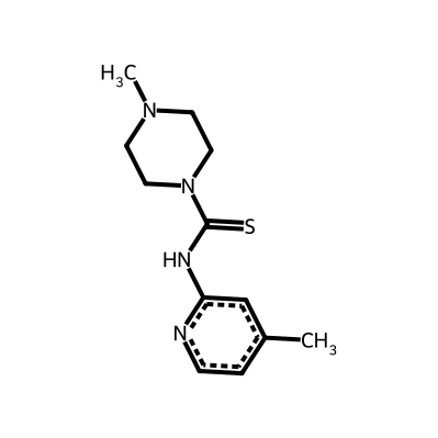 Cc1ccnc(NC(=S)N2CCN(C)CC2)c1